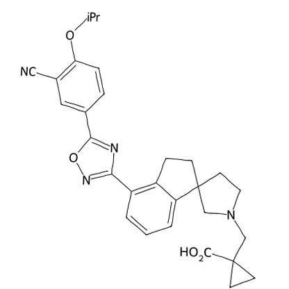 CC(C)Oc1ccc(-c2nc(-c3cccc4c3CCC43CCN(CC4(C(=O)O)CC4)C3)no2)cc1C#N